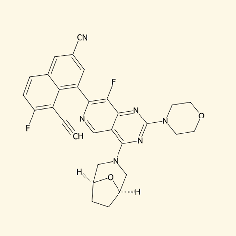 C#Cc1c(F)ccc2cc(C#N)cc(-c3ncc4c(N5C[C@H]6CC[C@@H](C5)O6)nc(N5CCOCC5)nc4c3F)c12